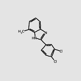 Cc1cccc2nc(-c3ccc(Cl)c(Cl)c3)[nH]c12